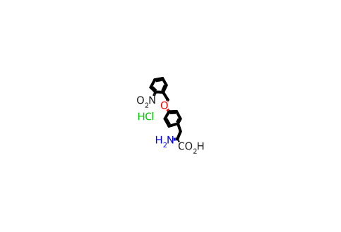 Cl.N[C@@H](Cc1ccc(OCc2ccccc2[N+](=O)[O-])cc1)C(=O)O